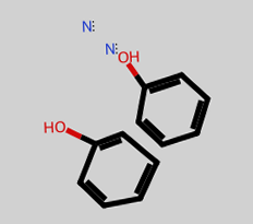 Oc1ccccc1.Oc1ccccc1.[N].[N]